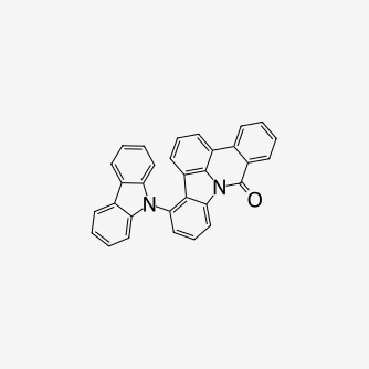 O=c1c2ccccc2c2cccc3c4c(-n5c6ccccc6c6ccccc65)cccc4n1c23